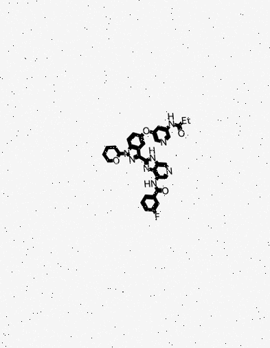 CCC(=O)Nc1cncc(Oc2ccc3c(c2)c(-c2nc4c(NC(=O)c5cccc(F)c5)cncc4[nH]2)nn3C2CCCCO2)c1